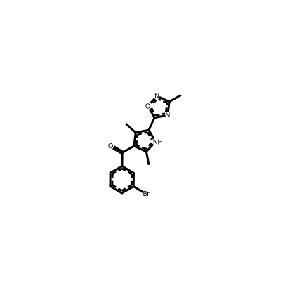 Cc1noc(-c2[nH]c(C)c(C(=O)c3cccc(Br)c3)c2C)n1